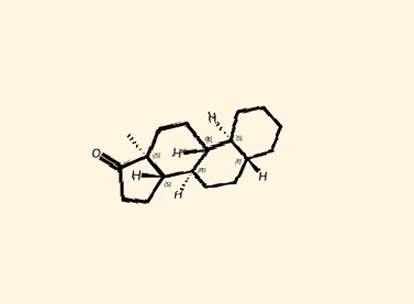 C[C@]12CC[C@H]3[C@@H](CC[C@H]4CCCC[C@@H]43)[C@@H]1CCC2=O